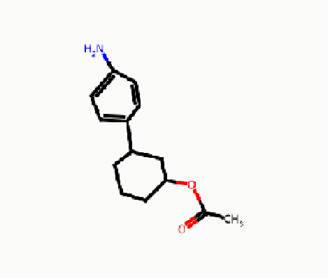 CC(=O)OC1CCCC(c2ccc(N)cc2)C1